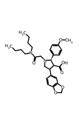 CCCCN(CCCC)C(=O)CN1CC(c2ccc3c(c2)OCO3)C(C(=O)O)[C@@H]1c1ccc(OC)cc1